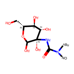 CCCCN(N=O)C(=O)N[C@@]1(O)C(O)O[C@H](CO)[C@@H](O)[C@@H]1O